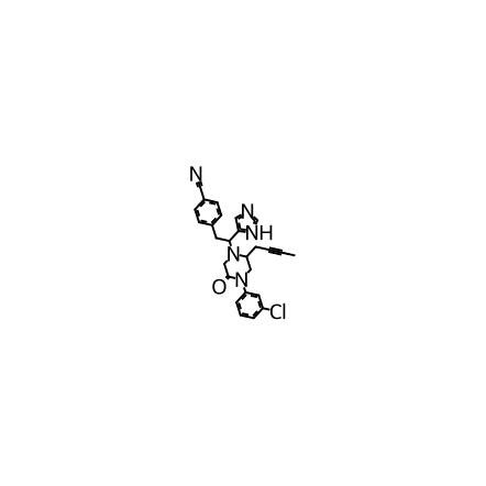 CC#CCC1CN(c2cccc(Cl)c2)C(=O)CN1C(Cc1ccc(C#N)cc1)c1cnc[nH]1